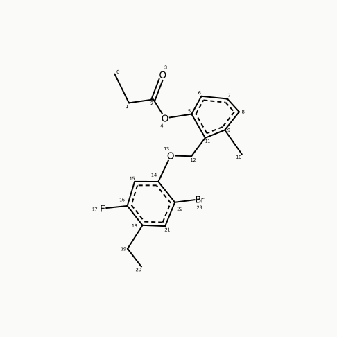 CCC(=O)Oc1cccc(C)c1COc1cc(F)c(CC)cc1Br